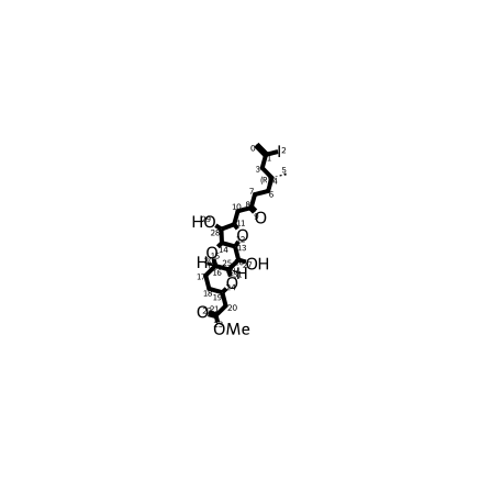 C=C(I)C[C@H](C)CCC(=O)CC1OC2C(O[C@H]3CCC(CC(=O)OC)O[C@@H]3C2O)C1O